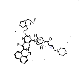 O=C(/C=C/CN1CCOCC1)N1C[C@@H]2C[C@H]1CN2c1nc(OC[C@@]23CCCN2C[C@H](F)C3)nc2c(F)c(-c3cccc4cccc(Cl)c34)ncc12